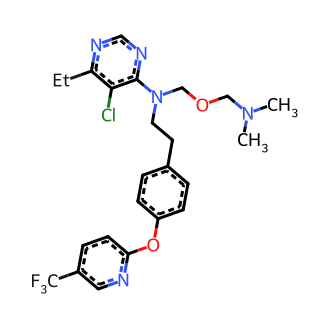 CCc1ncnc(N(CCc2ccc(Oc3ccc(C(F)(F)F)cn3)cc2)COCN(C)C)c1Cl